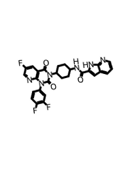 O=C(NC1CCC(n2c(=O)c3cc(F)cnc3n(-c3ccc(F)c(F)c3)c2=O)CC1)c1cc2cccnc2[nH]1